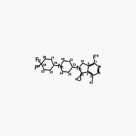 O=C1c2c(I)ccc(F)c2CN1C1CCN(C2CCC(F)(F)CC2)CC1